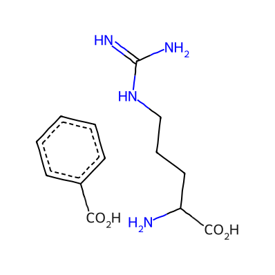 N=C(N)NCCCC(N)C(=O)O.O=C(O)c1ccccc1